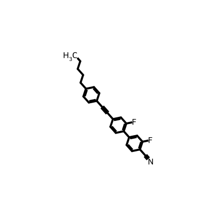 CCCCCc1ccc(C#Cc2ccc(-c3ccc(C#N)c(F)c3)c(F)c2)cc1